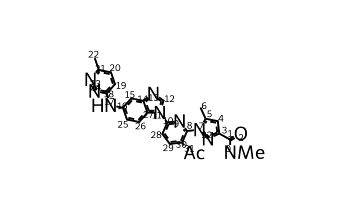 CNC(=O)c1cc(C)n(-c2nc(-n3cnc4cc(Nc5ccc(C)nn5)ccc43)ccc2C(C)=O)n1